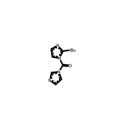 CC(C)(C)c1nccn1C(=O)n1ccnc1